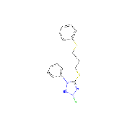 ClN1N=C(SCCCSc2ccccc2)N(c2ccccc2)N1